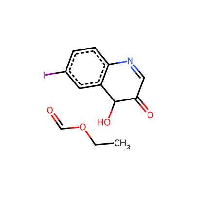 CCOC=O.O=C1C=Nc2ccc(I)cc2C1O